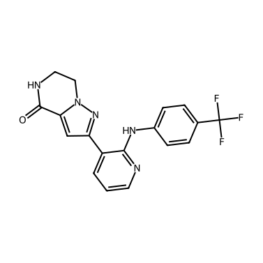 O=C1NCCn2nc(-c3cccnc3Nc3ccc(C(F)(F)F)cc3)cc21